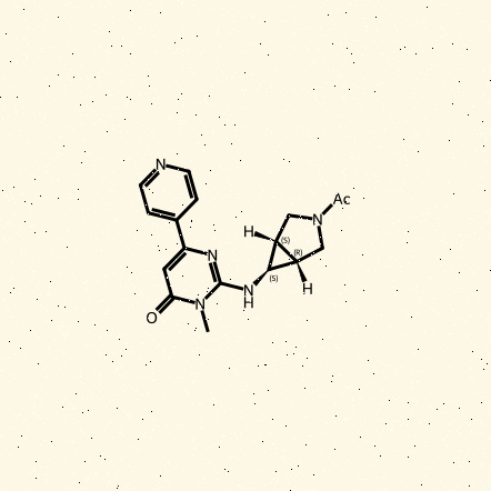 CC(=O)N1C[C@@H]2[C@H](C1)[C@H]2Nc1nc(-c2ccncc2)cc(=O)n1C